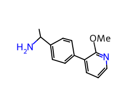 COc1ncccc1-c1ccc(C(C)N)cc1